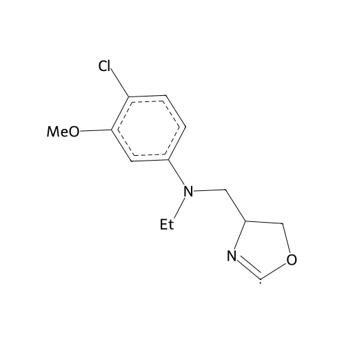 CCN(CC1CO[C]=N1)c1ccc(Cl)c(OC)c1